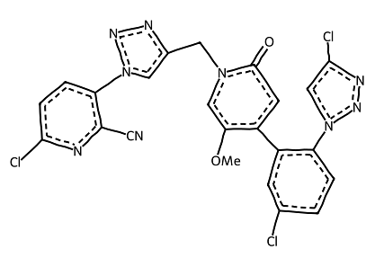 COc1cn(Cc2cn(-c3ccc(Cl)nc3C#N)nn2)c(=O)cc1-c1cc(Cl)ccc1-n1cc(Cl)nn1